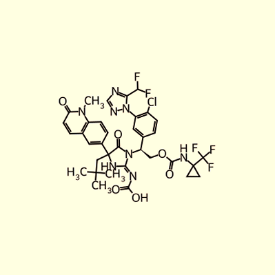 Cn1c(=O)ccc2cc(C3(CC(C)(C)C)NC(=NC(=O)O)N([C@H](COC(=O)NC4(C(F)(F)F)CC4)c4ccc(Cl)c(-n5ncnc5C(F)F)c4)C3=O)ccc21